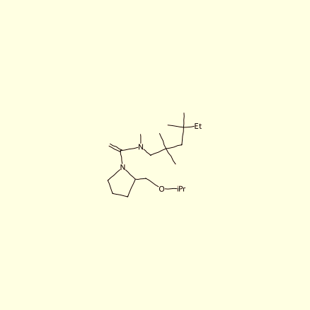 C=C(N(C)CC(C)(C)CC(C)(C)CC)N1CCCC1COC(C)C